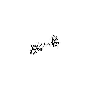 C[C@H](NCCCCCCCN[C@@H](C)[C@H](O)c1ccccc1)[C@H](O)c1ccccc1